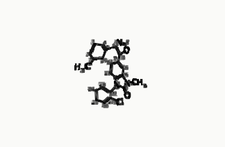 Cc1cccc(-c2ncoc2-c2ccc3c(c2)n(C)c(=O)n3-c2ccccc2Cl)c1